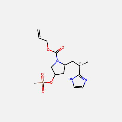 C=CCOC(=O)N1CC(OS(C)(=O)=O)CC1C[C@H](C)c1ncc[nH]1